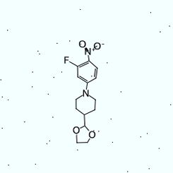 O=[N+]([O-])c1ccc(N2CCC(C3OCCO3)CC2)cc1F